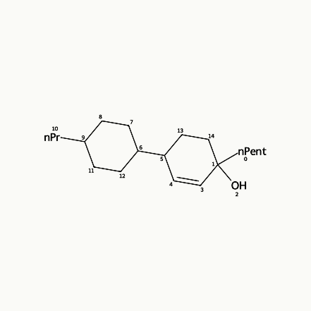 CCCCCC1(O)C=CC(C2CCC(CCC)CC2)CC1